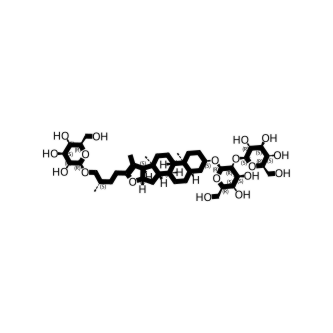 CC1=C(CC[C@H](C)CO[C@@H]2O[C@H](CO)[C@@H](O)[C@H](O)[C@H]2O)O[C@H]2C[C@H]3[C@@H]4CC[C@@H]5C[C@@H](O[C@@H]6O[C@H](CO)[C@@H](O)[C@H](O)[C@H]6O[C@@H]6O[C@H](CO)[C@@H](O)[C@H](O)[C@H]6O)CC[C@]5(C)[C@H]4CC[C@]3(C)[C@@H]12